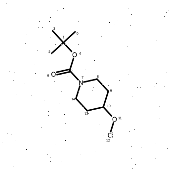 CC(C)(C)OC(=O)N1CCC(OCl)CC1